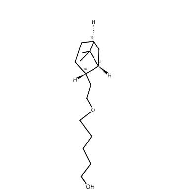 CC1(C)[C@H]2CC[C@@H](CCOCCCCCO)[C@H]1C2